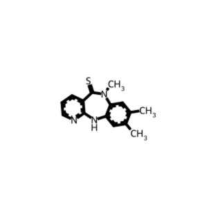 Cc1cc2c(cc1C)N(C)C(=S)c1cccnc1N2